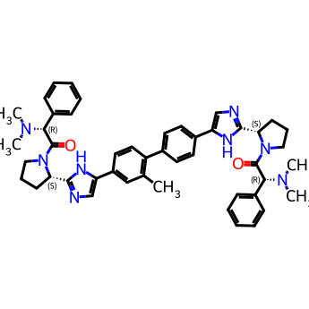 Cc1cc(-c2cnc([C@@H]3CCCN3C(=O)[C@@H](c3ccccc3)N(C)C)[nH]2)ccc1-c1ccc(-c2cnc([C@@H]3CCCN3C(=O)[C@@H](c3ccccc3)N(C)C)[nH]2)cc1